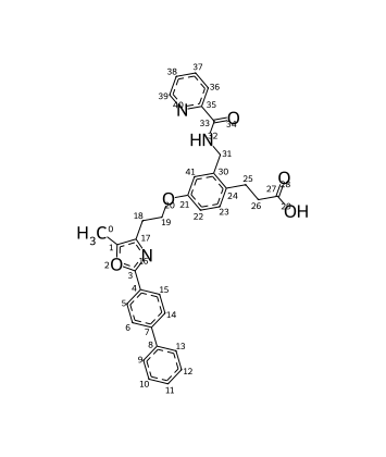 Cc1oc(-c2ccc(-c3ccccc3)cc2)nc1CCOc1ccc(CCC(=O)O)c(CNC(=O)c2ccccn2)c1